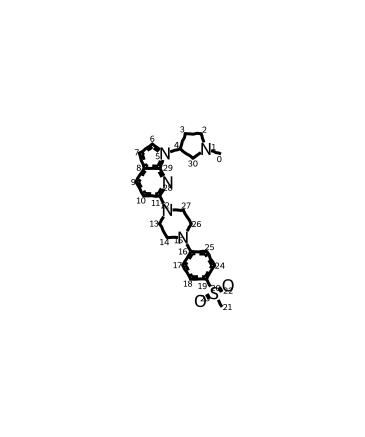 CN1CCC(n2ccc3ccc(N4CCN(c5ccc(S(C)(=O)=O)cc5)CC4)nc32)C1